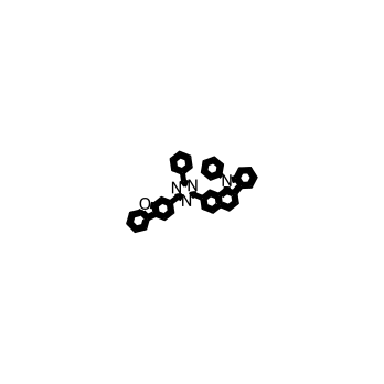 c1ccc(-c2nc(-c3ccc4c(c3)oc3ccccc34)nc(-c3ccc4ccc5c6ccccc6n(-c6ccccc6)c5c4c3)n2)cc1